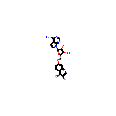 N#Cc1cnc2cc(OC[C@H]3O[C@@H](n4ccc5c(N)ncnc54)[C@H](O)[C@@H]3O)ccc2c1Cl